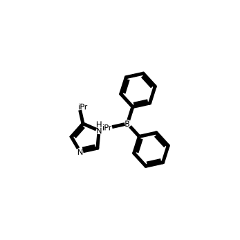 CC(C)B(c1ccccc1)c1ccccc1.CC(C)c1cnc[nH]1